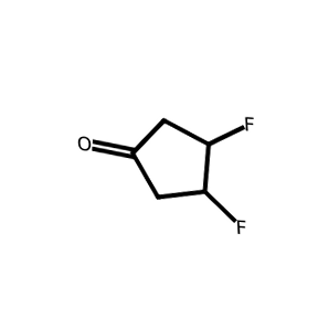 O=C1CC(F)C(F)C1